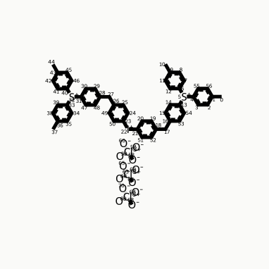 Cc1ccc([S+](c2ccc(C)cc2)c2ccc(Cc3ccc([I+]c4ccc(Cc5ccc([S+](c6ccc(C)cc6)c6ccc(C)cc6)cc5)cc4)cc3)cc2)cc1.[O-][Cl+3]([O-])([O-])[O-].[O-][Cl+3]([O-])([O-])[O-].[O-][Cl+3]([O-])([O-])[O-]